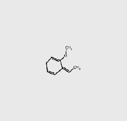 C/C=C1/C=CCC=C1OC